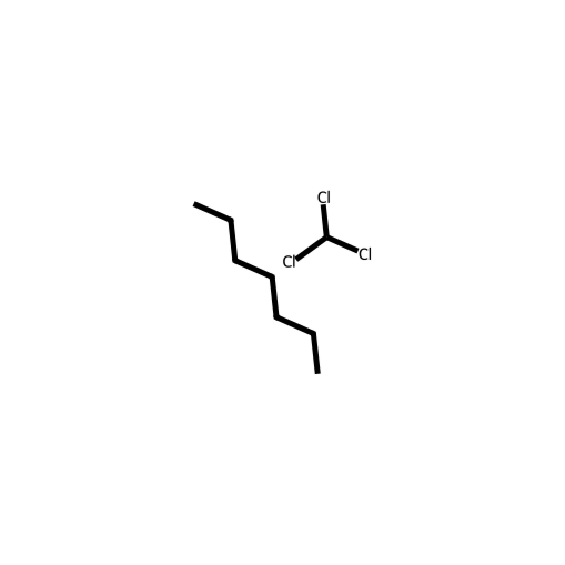 CCCCCCC.ClC(Cl)Cl